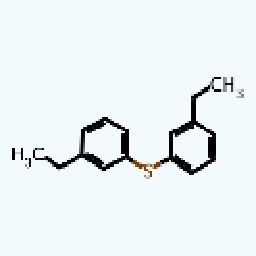 CCc1cccc(Sc2cccc(CC)c2)c1